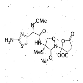 CO/N=C(\C(=O)N[C@]1(SC)CON(C2(C(=O)[O-])CCC(=O)O2)C1=O)c1csc(N)n1.[Na+]